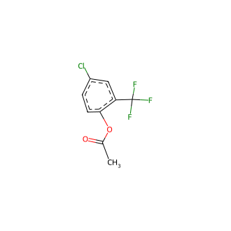 CC(=O)Oc1ccc(Cl)cc1C(F)(F)F